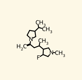 C=C(CC(C)C1CN(C)CC1F)N1CCC(C(C)C)C1